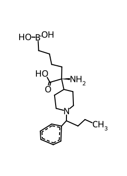 CCCC(c1ccccc1)N1CCC([C@@](N)(CCCCB(O)O)C(=O)O)CC1